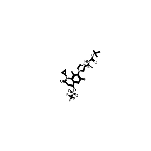 Cc1c(N2CC[C@@H]([C@H](C)NC(=O)OC(C)(C)C)C2)c(F)cc2c(OS(=O)(=O)C(F)(F)F)cc(=O)n(C3CC3)c12